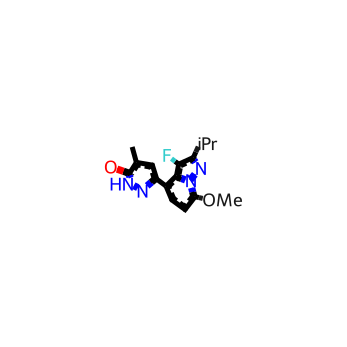 COc1ccc(-c2cc(C)c(=O)[nH]n2)c2c(F)c(C(C)C)nn12